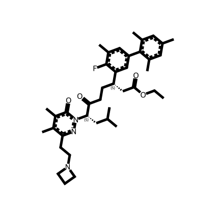 CCOC(=O)C[C@H](CCC(=O)[C@H](CC(C)C)n1nc(CCN2CCC2)c(C)c(C)c1=O)c1cc(-c2c(C)cc(C)cc2C)cc(C)c1F